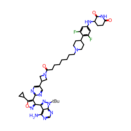 CC(C)(C)n1nc(-c2noc(C3CC3)c2-c2ncc(C3CN(C(=O)CCCCCCCN4CCC(c5c(F)cc(NC6CCC(=O)NC6=O)cc5F)CC4)C3)cn2)c2c(N)ncnc21